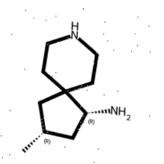 C[C@H]1C[C@@H](N)C2(CCNCC2)C1